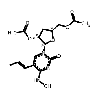 CC(=O)OC[C@@H]1C[C@@H](OC(C)=O)[C@H](n2cc(C=CI)c(NO)nc2=O)O1